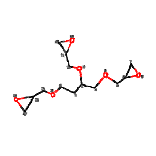 C(CC(COCC1CO1)OCC1CO1)OCC1CO1